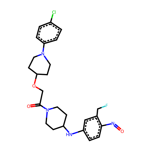 O=Nc1ccc(NC2CCN(C(=O)COC3CCN(c4ccc(Cl)cc4)CC3)CC2)cc1CF